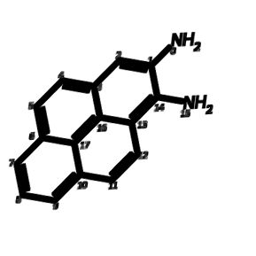 Nc1[c]c2ccc3cccc4ccc(c1N)c2c34